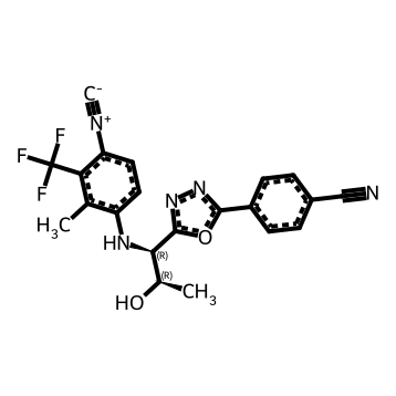 [C-]#[N+]c1ccc(N[C@@H](c2nnc(-c3ccc(C#N)cc3)o2)[C@@H](C)O)c(C)c1C(F)(F)F